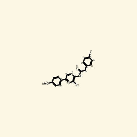 CCc1nc(-c2ccc(OC)cc2)cnc1NC(=O)Cc1ccc(F)cc1